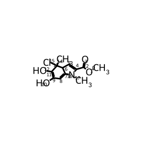 COC(=O)C1=CC2C(=CC(O)=C(O)C2(C)Cl)N1C